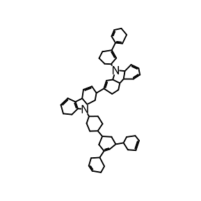 C1=CC2C3CCC(C4C=CC5C6=C(CCC=C6)N(C6CCC(C7CC(C8CC=CCC8)=CC(C8CC=CCC8)C7)CC6)C5C4)=CC3N(C3C=C(C4=CCCC=C4)CCC3)C2C=C1